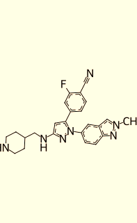 Cn1cc2cc(-n3nc(NCC4CCNCC4)cc3-c3ccc(C#N)c(F)c3)ccc2n1